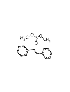 C(=Cc1ccccc1)c1ccccc1.COS(=O)OC